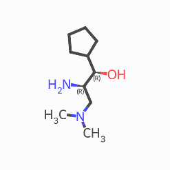 CN(C)C[C@@H](N)[C@H](O)C1CCCC1